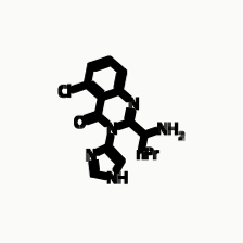 CCCC(N)c1nc2cccc(Cl)c2c(=O)n1-c1c[nH]cn1